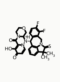 CC1(C)C(=S)N2Cc3c(ccc(F)c3F)[C@@H](N3[C@@H]4COCCN4C(=O)c4c(O)c(=O)ccn43)c3cccc1c32